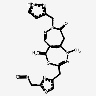 C=C1SC(Cc2csc(CN=O)n2)=NN(C)C2=C1C=NN(Cc1cc[nH]n1)C(=O)C2